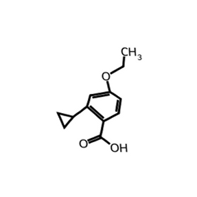 CCOc1ccc(C(=O)O)c(C2CC2)c1